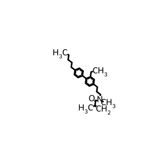 C=C(C)C(=O)N(C)CCCc1ccc(-c2ccc(CCCCC)cc2)c(CC)c1